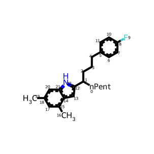 CCCCCC(CCCc1ccc(F)cc1)c1cc2c(C)cc(C)cc2[nH]1